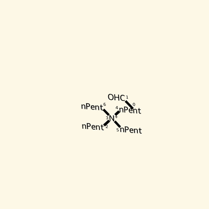 CC=O.CCCCC[N+](CCCCC)(CCCCC)CCCCC